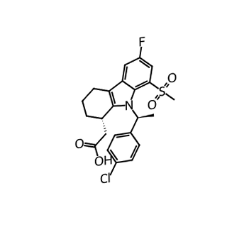 C[C@@H](c1ccc(Cl)cc1)n1c2c(c3cc(F)cc(S(C)(=O)=O)c31)CCC[C@H]2CC(=O)O